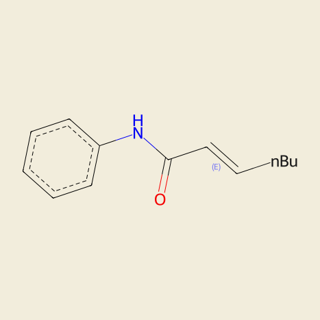 CCCC/C=C/C(=O)Nc1ccccc1